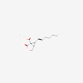 CCCCCC=CC1C2COC(=O)C12C(=O)OC